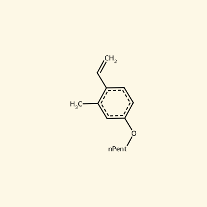 C=Cc1ccc(OCCCCC)cc1C